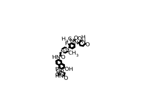 C[C@@H]1CN(CC(=O)Nc2ccc3c(F)c(N4CC(=O)NS4(=O)=O)c(O)cc3c2)CCN1c1ccc2c(c1F)n(C)c(=O)n2C1CCC(=O)NC1=O